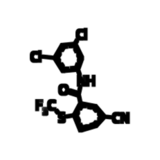 N#Cc1ccc(SC(F)(F)F)c(C(=O)Nc2cc(Cl)cc(Cl)c2)c1